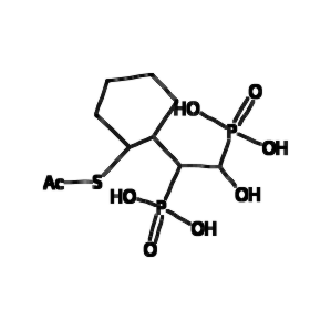 CC(=O)SC1CCCCC1C(C(O)P(=O)(O)O)P(=O)(O)O